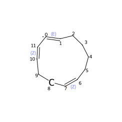 [C]1=C/CCCC/C=C\CC\C=C/1